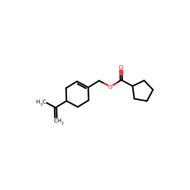 C=C(C)C1CC=C(COC(=O)C2CCCC2)CC1